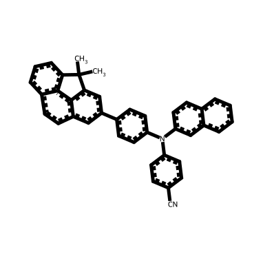 CC1(C)c2cccc3ccc4cc(-c5ccc(N(c6ccc(C#N)cc6)c6ccc7ccccc7c6)cc5)cc1c4c23